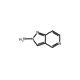 Nn1cc2cnccc2n1